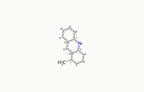 Cc1cccc2nc3ccccc3[c]c12